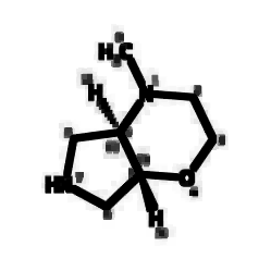 CN1CCO[C@@H]2CNC[C@H]21